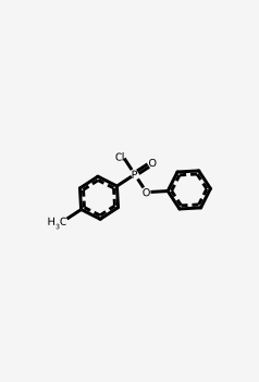 Cc1ccc(P(=O)(Cl)Oc2ccccc2)cc1